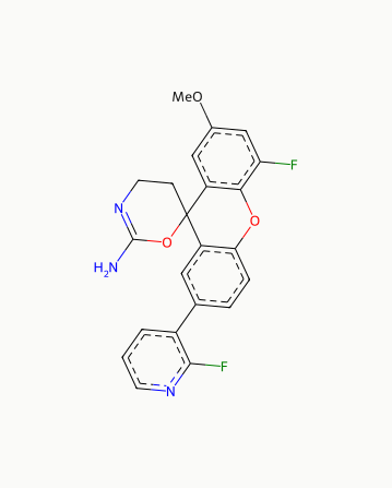 COc1cc(F)c2c(c1)C1(CCN=C(N)O1)c1cc(-c3cccnc3F)ccc1O2